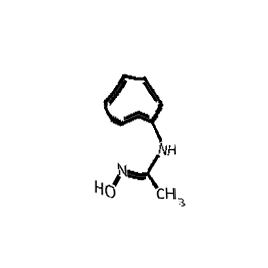 CC(=NO)Nc1ccccc1